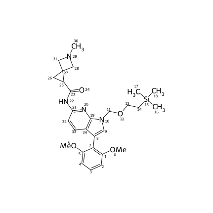 COc1cccc(OC)c1-c1cn(COCC[Si](C)(C)C)c2nc(NC(=O)C3CC34CN(C)C4)ccc12